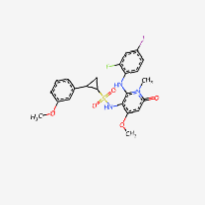 COc1cccc(C2CC2S(=O)(=O)Nc2c(OC)cc(=O)n(C)c2Nc2ccc(I)cc2F)c1